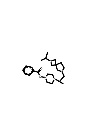 CC(C)N1CC2(CCN(CC(C)N3CCN(OC(=O)c4ccccc4)CC3)C2)C1